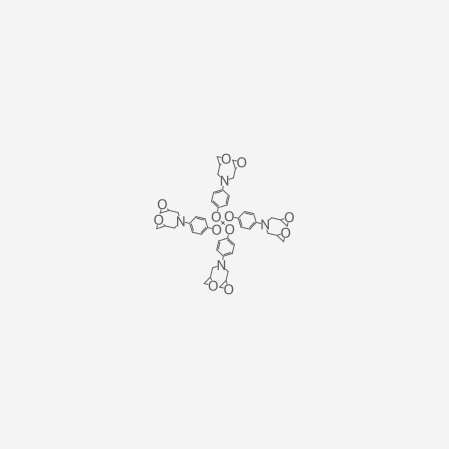 c1cc(N(CC2CO2)CC2CO2)ccc1OC(Oc1ccc(N(CC2CO2)CC2CO2)cc1)(Oc1ccc(N(CC2CO2)CC2CO2)cc1)Oc1ccc(N(CC2CO2)CC2CO2)cc1